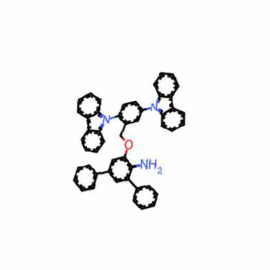 Nc1c(OCc2cc(-n3c4ccccc4c4ccccc43)ccc2-n2c3ccccc3c3ccccc32)cc(-c2ccccc2)cc1-c1ccccc1